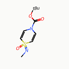 CN=S1(=O)C=CN(C(=O)OC(C)(C)C)C=C1